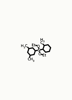 CCO[Si](OCC)(C1CC(C)CC(C)C1)C1CCCCC1C